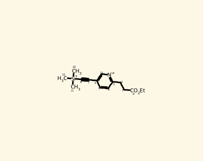 CCOC(=O)CCc1ccc(C#C[Si](C)(C)C)cn1